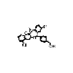 CN1C(=O)C(Cc2ccccc2Cl)N=C(c2ccc(CO)cc2)c2cc(Cl)ccc21